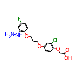 NNc1cc(F)ccc1OCCCOc1ccc(OCC(=O)O)c(Cl)c1